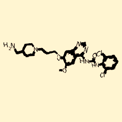 COc1cc2c(NC(=O)Nc3c(Cl)cccc3Cl)ncnc2cc1OCCCN1CCC(CN)CC1